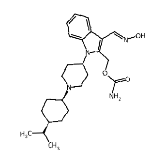 CC(C)[C@H]1CC[C@@H](N2CCC(n3c(COC(N)=O)c(C=NO)c4ccccc43)CC2)CC1